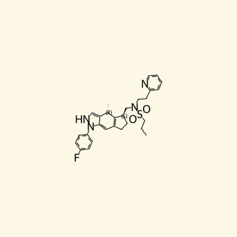 CCCS(=O)(=O)N(CCc1ccccn1)C[C@H]1CCC2=C1[C@@H](C)C1=CNN(c3ccc(F)cc3)C1=C2